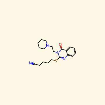 N#CCCCCSc1nc2ccccc2c(=O)n1CCN1CCCCC1